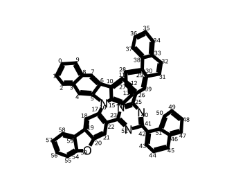 c1ccc2cc3c(cc2c1)c1ccccc1n3-c1cc2c(cc1-c1nc(-c3ccc4c(ccc5ccccc54)c3)nc(-c3cccc4ccccc34)n1)oc1ccccc12